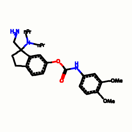 CCCN(CCC)C1(CN)CCc2ccc(OC(=O)Nc3ccc(OC)c(OC)c3)cc21